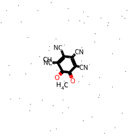 C.C.N#CC1=C(C#N)C(C#N)=C(C#N)C(=O)C1=O